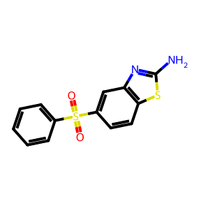 Nc1nc2cc(S(=O)(=O)c3ccccc3)ccc2s1